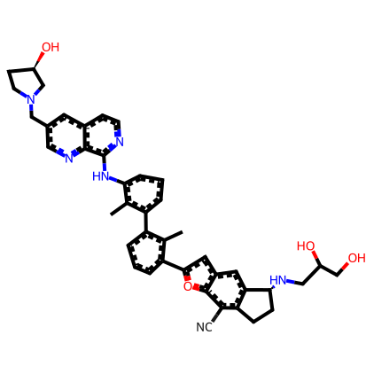 Cc1c(Nc2nccc3cc(CN4CC[C@@H](O)C4)cnc23)cccc1-c1cccc(-c2cc3cc4c(c(C#N)c3o2)CC[C@H]4NCC(O)CO)c1C